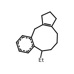 CCC1CCCC2=C(CCC2)Cc2ccccc21